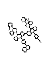 N#Cc1ccc(-c2c3ccccc3c(-c3ccc4c5c(cccc35)Oc3ccccc3-4)c3cc(-c4ccc5c(-c6ccc7c8c(cccc68)Oc6ccccc6-7)c6ccccc6c(-c6ccc(-c7cccc8ccccc78)cc6)c5c4)ccc23)cc1